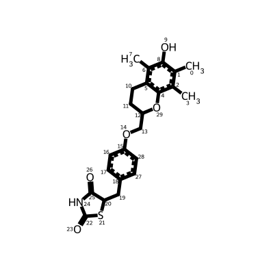 Cc1c(C)c2c(c(C)c1O)CCC(COc1ccc(CC3SC(=O)NC3=O)cc1)O2